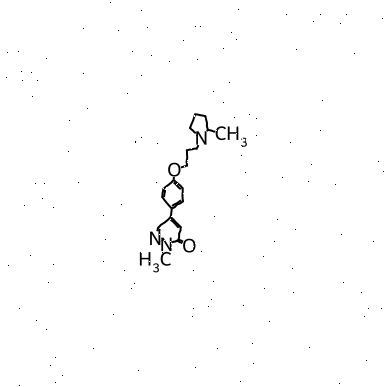 CC1CCCN1CCCOc1ccc(-c2cnn(C)c(=O)c2)cc1